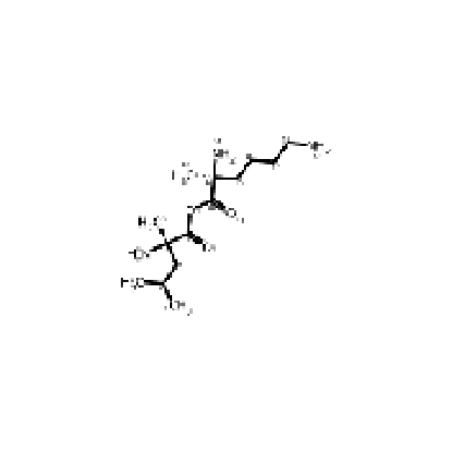 CC(C)C[C@](C)(N)C(=O)OC(=O)[C@@](C)(N)CCCCN